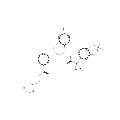 Cc1ccc2c(c1)O[C@@H](c1cccc(C(=O)NCC3COC(C)(C)O3)c1)C[C@H]2NC(=O)C1(c2ccc3c(c2)OC(F)(F)O3)CC1